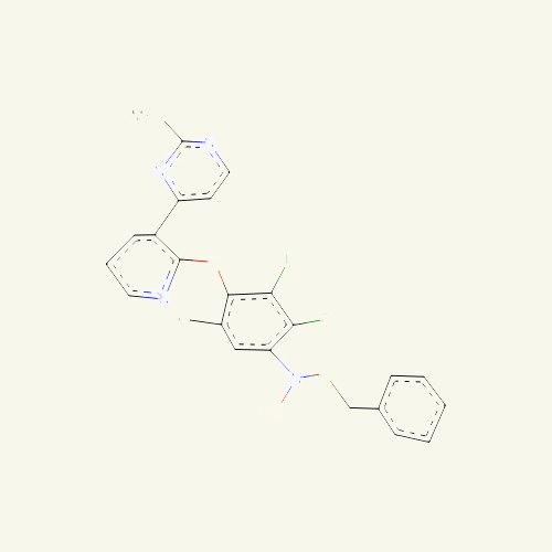 CSc1nccc(-c2cccnc2Oc2c(C)cc(N(O)SCc3ccccc3)c(F)c2F)n1